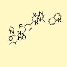 CCC(C)C[C@@H](NC(=O)c1ccc(-c2cnc3ncc(Cc4ccc5ncccc5c4)n3n2)cc1F)C(=O)N1CCC1